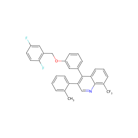 Cc1ccccc1-c1cnc2c(C(F)(F)F)cccc2c1-c1cccc(OCc2cc(F)ccc2F)c1